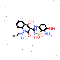 CC(C)CNn1c(=O)c(C2=NS(O)(O)c3c(ccc(O)c3N)N2)c(O)c2ccccc21